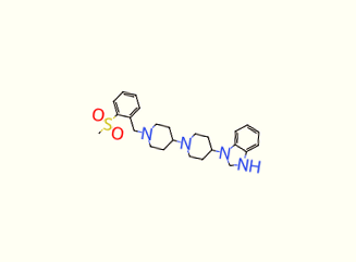 CS(=O)(=O)c1ccccc1CN1CCC(N2CCC(N3CNc4ccccc43)CC2)CC1